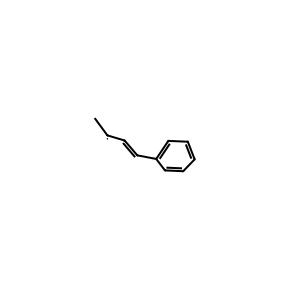 C[CH]C=Cc1ccccc1